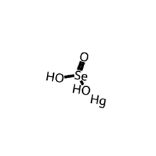 O=[Se](O)O.[Hg]